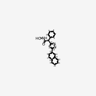 O=C(NO)C(c1ccccc1)c1nnc(-c2ccc3ccccc3c2)s1